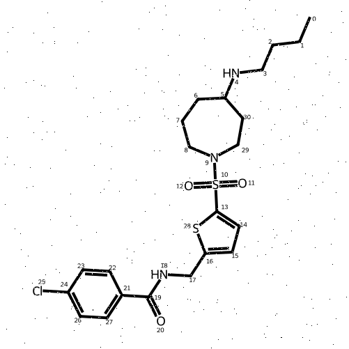 CCCCNC1CCCN(S(=O)(=O)c2ccc(CNC(=O)c3ccc(Cl)cc3)s2)CC1